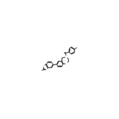 Cc1nc2cc(-c3ccc4c(c3)CN(C(=O)c3ccc([N+](=O)[O-])cc3)CCO4)ccc2[nH]1